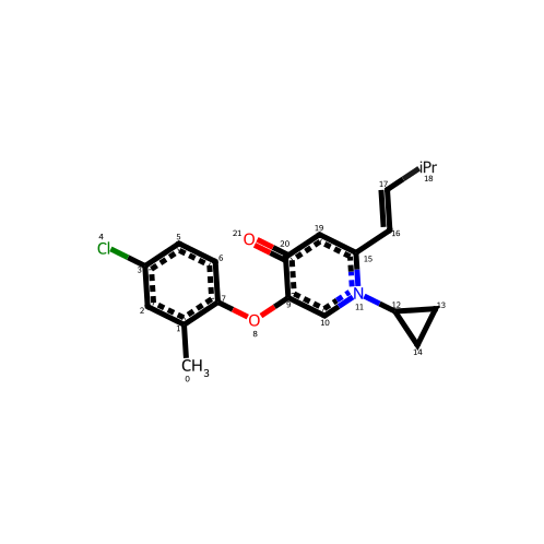 Cc1cc(Cl)ccc1Oc1cn(C2CC2)c(/C=C/C(C)C)cc1=O